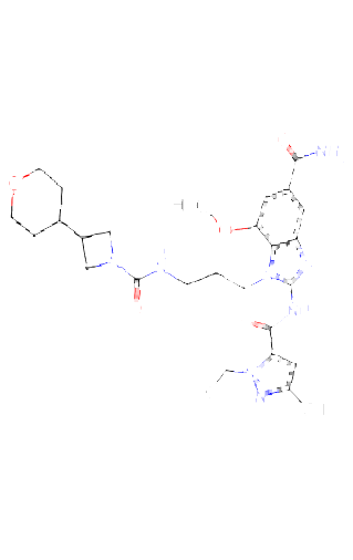 CCn1nc(C)cc1C(=O)Nc1nc2cc(C(N)=O)cc(OC)c2n1CCCNC(=O)N1CC(C2CCOCC2)C1